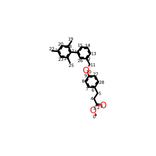 COC(=O)CCc1ccc(OCc2cccc(-c3c(C)cc(C)cc3C)c2)cc1